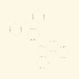 S=P(c1ccccc1)(c1ccccc1)c1ccc(-c2cc3cccnc3c3c2ccc2ccccc23)cc1